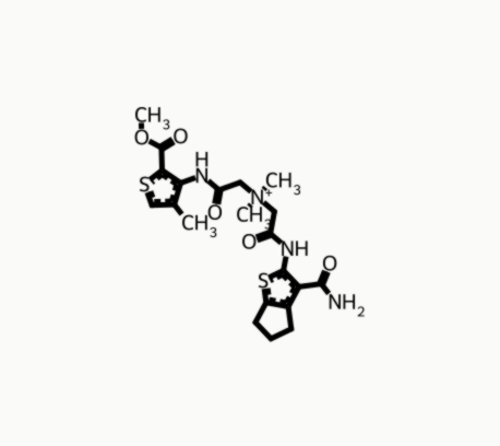 COC(=O)c1scc(C)c1NC(=O)C[N+](C)(C)CC(=O)Nc1sc2c(c1C(N)=O)CCC2